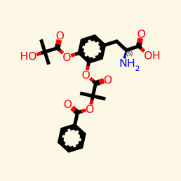 CC(C)(O)C(=O)Oc1ccc(C[C@H](N)C(=O)O)cc1OC(=O)C(C)(C)OC(=O)c1ccccc1